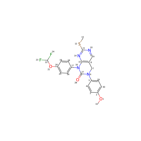 COc1ccc(N2Cc3cnc(SC)nc3N(c3ccc(OC(F)F)cc3)C2=O)cc1